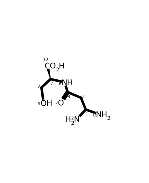 NC(N)CC(=O)N[C@@H](CO)C(=O)O